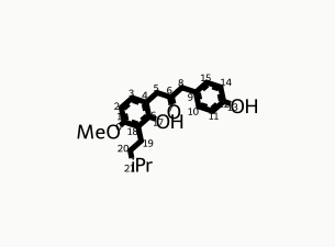 COc1ccc(CC(=O)Cc2ccc(O)cc2)c(O)c1CCC(C)C